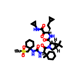 CC1([C@H](NC(=O)NC2(CS(=O)(=O)C(C)(C)C)CCCCC2)C(=O)N2C[C@H]3[C@@H]([C@H]2C(=O)N[C@@H](CCC2CC2)C(=O)C(=O)NC2CC2)C3(C)C)CCCCC1